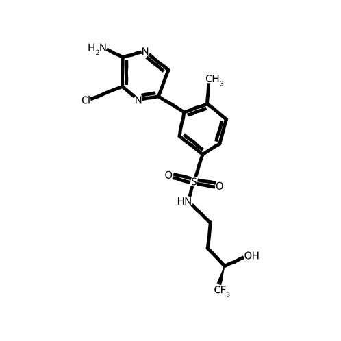 Cc1ccc(S(=O)(=O)NCC[C@@H](O)C(F)(F)F)cc1-c1cnc(N)c(Cl)n1